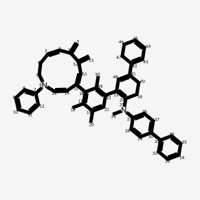 C=C1/C=C\CCN(c2ccccc2)/C=C\C(c2c(C)c(C)cc(C3=C(N(C)c4ccc(-c5ccccc5)cc4)CCC(C4=CC=CCC4)=C3)c2C)=C/C1=C